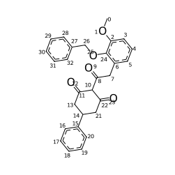 COc1cccc(CC(=O)C2C(=O)CC(c3ccccc3)CC2=O)c1OCc1ccccc1